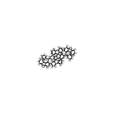 c1ccc(N(c2ccc3c(c2)C2(c4ccccc4-c4ccccc42)C2c4ccc(N(c5ccccc5)c5cccc6oc7ccccc7c56)cc4C4(c5ccccc5-c5ccccc54)C32)c2cccc3oc4ccccc4c23)cc1